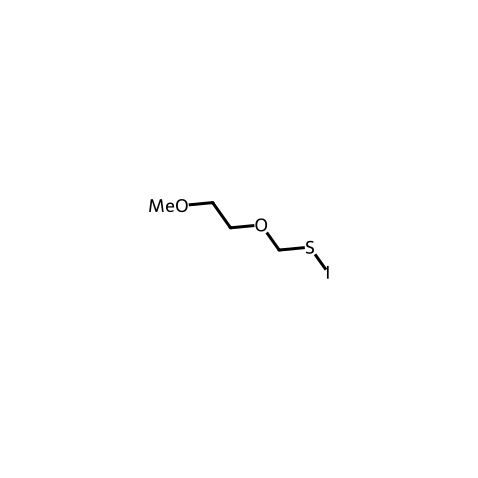 COCCOCSI